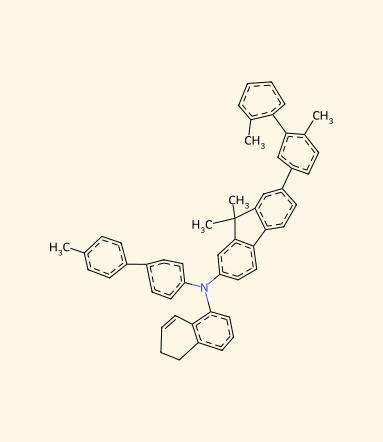 Cc1ccc(-c2ccc(N(c3ccc4c(c3)C(C)(C)c3cc(-c5ccc(C)c(-c6ccccc6C)c5)ccc3-4)c3cccc4c3C=CCC4)cc2)cc1